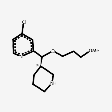 COCCCOC(c1cc(Cl)ccn1)[C@@H]1CCCNC1